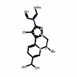 CN/C=C(\C=N)c1nn2c(c1Cl)C1=CCC(C(O)O)=CN1[C@H](C(C)(C)C)C2